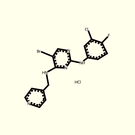 Cl.Fc1ccc(Nc2ncc(Br)c(NCc3ccncc3)n2)cc1Cl